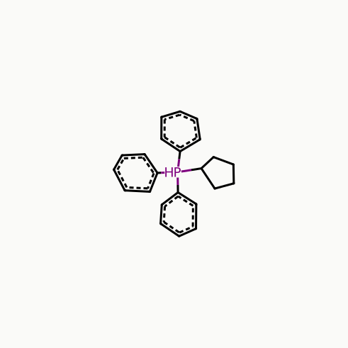 c1ccc([PH](c2ccccc2)(c2ccccc2)C2CCCC2)cc1